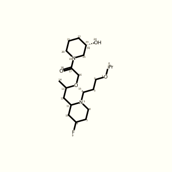 CC(C)OCCCN1CCC(F)CC1CC(C)OCC(=O)N1CCC[C@H](O)C1